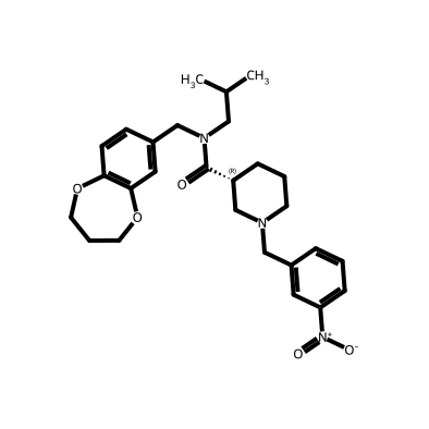 CC(C)CN(Cc1ccc2c(c1)OCCCO2)C(=O)[C@@H]1CCCN(Cc2cccc([N+](=O)[O-])c2)C1